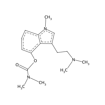 CN(C)CCc1cn(C)c2cccc(OC(=O)N(C)C)c12